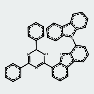 c1ccc(C2=NC(c3ccccc3)NC(c3cccc4c3oc3c(-n5c6ccccc6c6ccccc65)cccc34)=N2)cc1